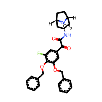 CN1[C@@H]2CC[C@H]1C[C@@H](NC(=O)C(=O)c1cc(F)c(OCc3ccccc3)c(OCc3ccccc3)c1)C2